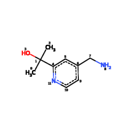 CC(C)(O)c1cc(CN)ccn1